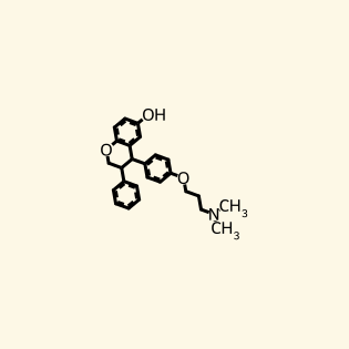 CN(C)CCCOc1ccc(C2c3cc(O)ccc3OCC2c2ccccc2)cc1